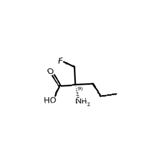 CCC[C@](N)(CF)C(=O)O